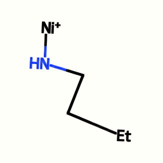 CCCC[NH][Ni+]